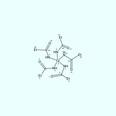 CCC(=O)[NH][Ta]([NH]C(=O)CC)([NH]C(=O)CC)([NH]C(=O)CC)[NH]C(=O)CC